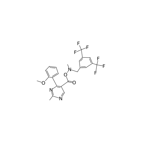 COc1ccccc1-c1nc(C)ncc1C(=O)ON(C)Cc1cc(C(F)(F)F)cc(C(F)(F)F)c1